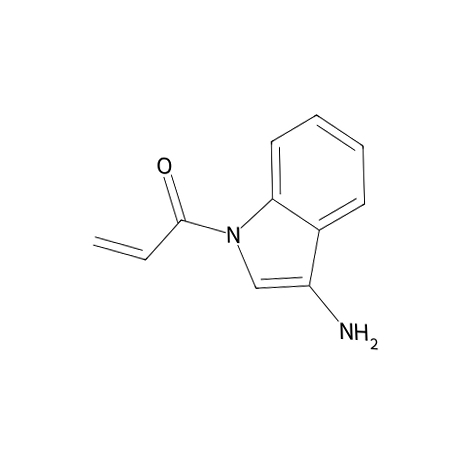 C=CC(=O)n1cc(N)c2ccccc21